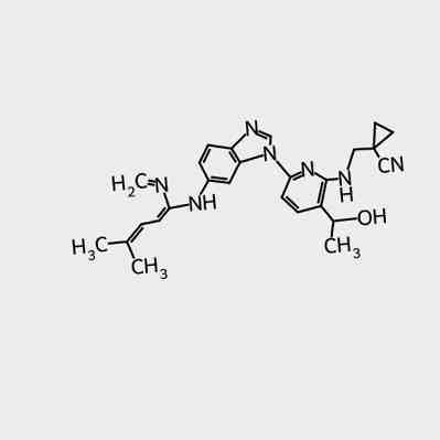 C=N/C(=C\C=C(C)C)Nc1ccc2ncn(-c3ccc(C(C)O)c(NCC4(C#N)CC4)n3)c2c1